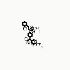 CS(=O)(=O)N(CCc1ccccc1Cl)c1ccc(C(C(N)=O)c2ccc(C(F)(F)F)nc2)cc1